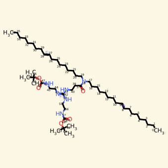 CCCCCCCC/C=C/CCCCCCCCN(CCCCCCCC/C=C/CCCCCCCC)C(=O)CCN/C(=N\CCNC(=O)OC(C)(C)C)NCCNC(=O)OC(C)(C)C